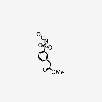 COC(=O)Cc1cccc(S(=O)(=O)N=C=O)c1